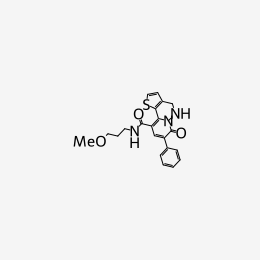 COCCCNC(=O)c1cc(-c2ccccc2)c(=O)n2c1-c1sccc1CN2